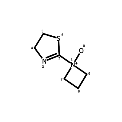 [O-][N+]1(C2=NCCS2)CCC1